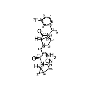 C[C@H](c1cccc(F)c1)N1C(=O)[C@@H]2CC1CN2C[C@H](N)C(=O)N1[C@H](C#N)CC2C[C@@H]21